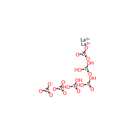 [La+3].[La+3].[O]=[Ti]([OH])[OH].[O]=[Ti]([OH])[OH].[O]=[Ti]([OH])[OH].[O]=[Zr]([O-])[O-].[O]=[Zr]([O-])[O-].[O]=[Zr]([O-])[O-]